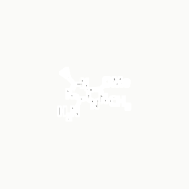 COc1c2nc(C3CC3)nc(N)c2nn1C